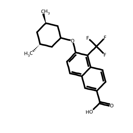 C[C@H]1CC(Oc2ccc3cc(C(=O)O)ccc3c2C(F)(F)F)C[C@H](C)C1